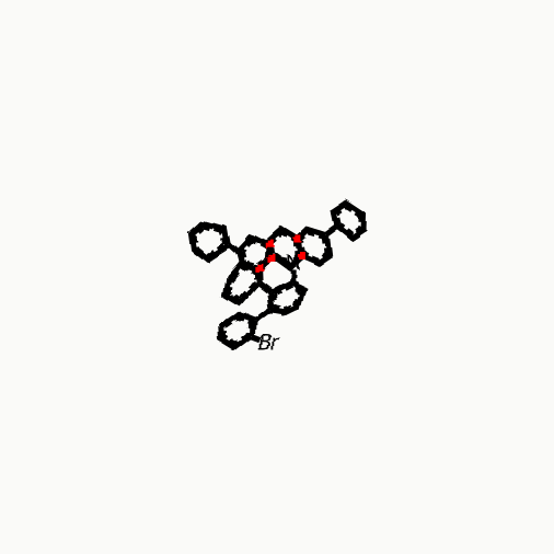 Brc1ccccc1-c1cccc(N(c2ccc(-c3ccccc3)cc2)c2ccc(-c3ccccc3)cc2)c1-c1ccccc1-c1ccccc1